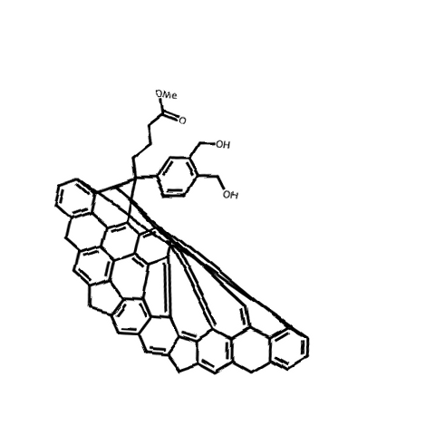 COC(=O)CCCC1(c2ccc(CO)c(CO)c2)C23c4c5ccc6c4-c4c7c8c9c(c%10c%11c(cc%12c%13c%14c(cc%15cc%16c%17c%18c(cc(c4c%18c8c4c%17c%15c%14c4c9c%11%13)C6)C%16)C%12)Cc4ccc-5c2c4-%10)C713